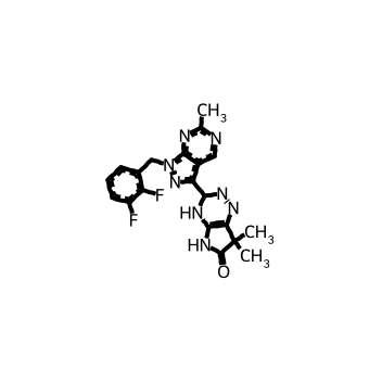 Cc1ncc2c(C3N=NC4=C(NC(=O)C4(C)C)N3)nn(Cc3cccc(F)c3F)c2n1